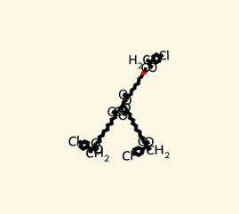 C=C(C(=O)OCCCCCCCCCC(=O)OCC(COC(=O)CCCCCCCCCOC(=O)C(=C)c1ccc(Cl)cc1)OC(=O)CCCCCCCCCOC(=O)C(=C)c1ccc(Cl)cc1)c1ccc(Cl)cc1